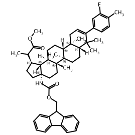 COC(=O)C(C)[C@@H]1CC[C@]2(NC(=O)OCC3c4ccccc4-c4ccccc43)CC[C@]3(C)[C@H](CC[C@@H]4[C@@]5(C)CC=C(c6ccc(C)c(F)c6)C(C)(C)[C@@H]5CC[C@]43C)[C@@H]12